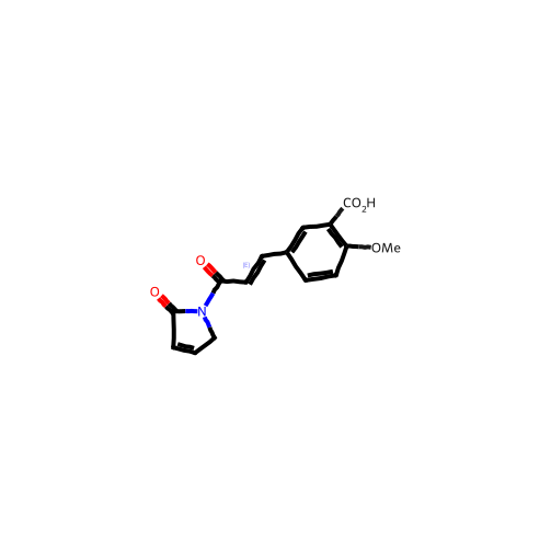 COc1ccc(/C=C/C(=O)N2CC=CC2=O)cc1C(=O)O